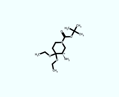 CCOC1(OCC)CCN(C(=O)OC(C)(C)C)C[C@@H]1N